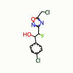 OC(c1ccc(Cl)cc1)C(F)c1noc(CCl)n1